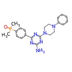 CP(C)(=O)c1ccc(-c2nc(N)nc(N3CCN(c4ccccc4)CC3)n2)cc1